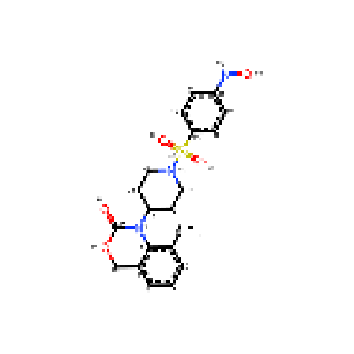 Cc1cccc2c1N(C1CCN(S(=O)(=O)c3ccc(N=O)cc3)CC1)C(=O)OC2